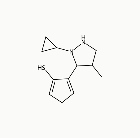 CC1CNN(C2CC2)C1C1=CCC=C1S